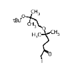 CC(C)(C)OC(C)(C)CCOC(C)(C)CCC(=O)CI